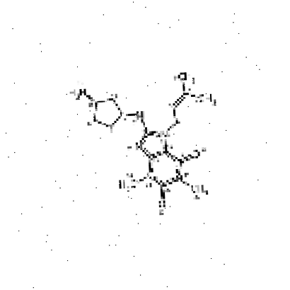 CC(C)=CCn1c(N[C@H]2CC[C@@H](N)C2)nc2c1c(=O)n(C)c(=O)n2C